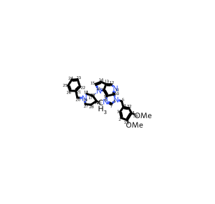 COc1ccc(Cn2cnc3c2ncc2ccn([C@H]4CN(Cc5ccccc5)CC[C@H]4C)c23)cc1OC